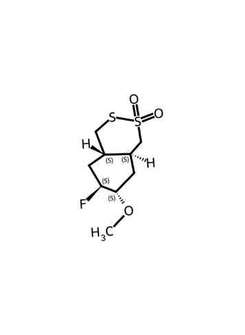 CO[C@H]1C[C@@H]2CS(=O)(=O)SC[C@H]2C[C@@H]1F